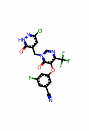 N#Cc1cc(F)cc(Oc2c(C(F)(F)F)ncn(Cc3cc(Cl)n[nH]c3=O)c2=O)c1